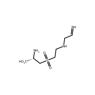 N=CCNCCS(=O)(=O)C[C@@H](N)C(=O)O